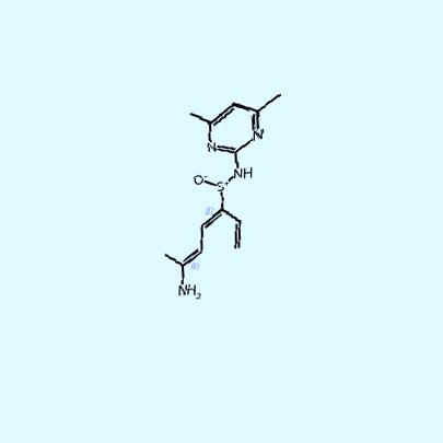 C=C/C(=C\C=C(/C)N)[S+]([O-])Nc1nc(C)cc(C)n1